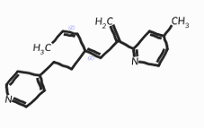 C=C(/C=C(\C=C/C)CCc1ccncc1)c1cc(C)ccn1